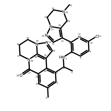 Cc1cc(C(C)Nc2ccc(Cl)nc2-c2cnn3c2CN(C)CC3)c2c(c1)c(=O)n1c3c2cnn3CCC1